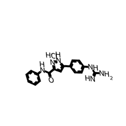 Cl.N=C(N)Nc1ccc(-c2cc(C(=O)Nc3ccccc3)n[nH]2)cc1